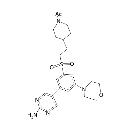 CC(=O)N1CCC(CCS(=O)(=O)c2cc(-c3cnc(N)nc3)cc(N3CCOCC3)c2)CC1